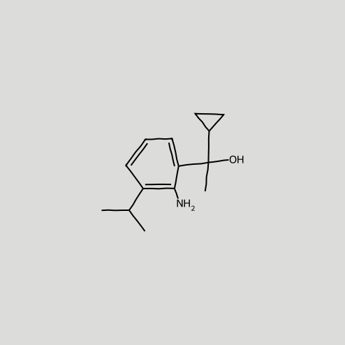 CC(C)c1cccc(C(C)(O)C2CC2)c1N